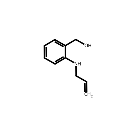 C=CCNc1ccccc1CO